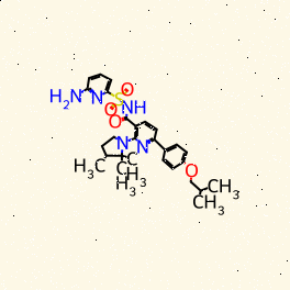 CC(C)COc1ccc(-c2ccc(C(=O)NS(=O)(=O)c3cccc(N)n3)c(N3CCC(C)C3(C)C)n2)cc1